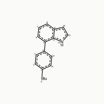 CC(C)(C)c1ccc(-c2cccc3cc[nH]c23)cc1